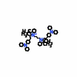 CC1(C)C(/C=C/c2ccc(N(c3ccccc3)c3ccccc3)cc2)=[N+](CCCC[N+]2=C(/C=C/c3ccc(N(c4ccccc4)c4ccccc4)cc3)C(C)(C)c3ccccc32)c2ccccc21